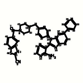 N#Cc1nc2cc(C(=O)N3CCN(Cc4ccc(-n5c(-c6cccnc6N)nc6ccc(-c7ccccc7)nc65)cc4)CC3)ccc2s1